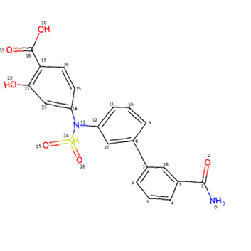 NC(=O)c1cccc(-c2cccc(N(c3ccc(C(=O)O)c(O)c3)[SH](=O)=O)c2)c1